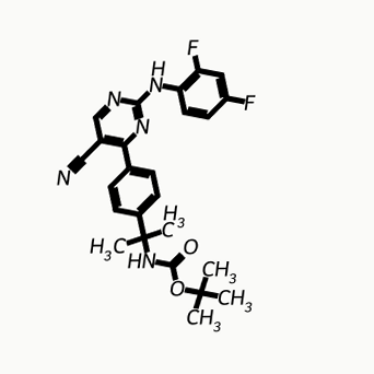 CC(C)(C)OC(=O)NC(C)(C)c1ccc(-c2nc(Nc3ccc(F)cc3F)ncc2C#N)cc1